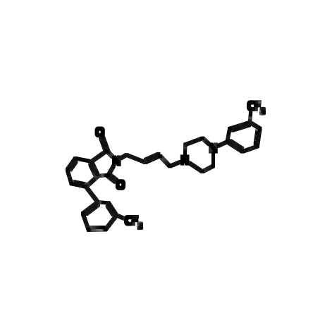 O=C1c2cccc(-c3cccc(C(F)(F)F)c3)c2C(=O)N1CC=CCN1CCN(c2cccc(C(F)(F)F)c2)CC1